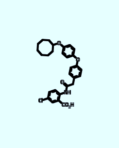 O=C(Cc1ccc(Oc2ccc(OC3CCCCCCC3)cc2)cc1)Nc1ccc(Cl)cc1C(=O)O